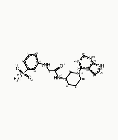 O=C(CNc1cccc(S(=O)(=O)C(F)(F)F)c1)N[C@@H]1CCCN(c2ncnc3[nH]ccc23)C1